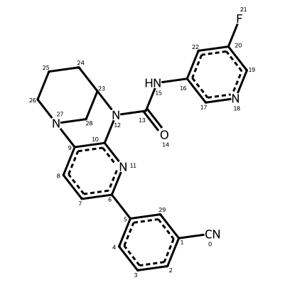 N#Cc1cccc(-c2ccc3c(n2)N(C(=O)Nc2cncc(F)c2)C2CCCN3C2)c1